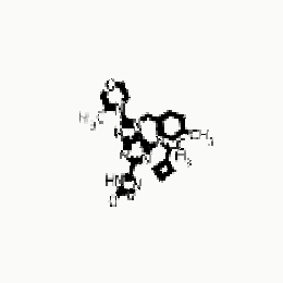 CC1CCC(Cn2c(N3CCOC[C@@H]3C)nc3nc(-c4noc(=O)[nH]4)nc(N[C@H](C)C4CCC4)c32)CC1